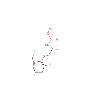 C[C@H](COc1c(F)cc(F)cc1CCl)NC(=O)OC(C)(C)C